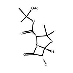 CC(=O)OC(C)(C)OC(=O)[C@@H]1N2C(=O)[C@@H](Cl)[C@H]2SC1(C)C